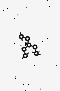 Cc1ccc(C)c(-c2cccc(-c3cc(-c4cccc(-c5cc(C)ccc5C)c4)nc(-c4cccc(-c5cc(C)ccc5C)c4)c3)c2)c1